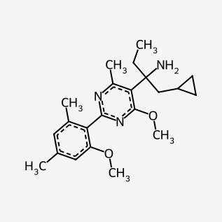 CCC(N)(CC1CC1)c1c(C)nc(-c2c(C)cc(C)cc2OC)nc1OC